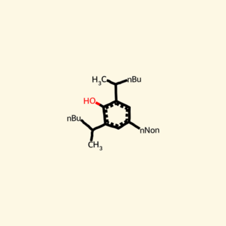 CCCCCCCCCc1cc(C(C)CCCC)c(O)c(C(C)CCCC)c1